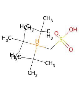 CC(C)(C)[PH](CS(=O)(=O)O)(C(C)(C)C)C(C)(C)C